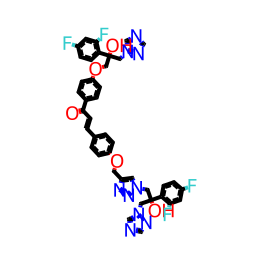 O=C(C=Cc1ccc(OCc2cn(CC(O)(Cn3cncn3)c3ccc(F)cc3F)nn2)cc1)c1ccc(OCC(O)(Cn2cncn2)c2ccc(F)cc2F)cc1